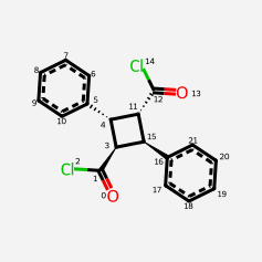 O=C(Cl)[C@H]1[C@H](c2ccccc2)[C@H](C(=O)Cl)[C@H]1c1ccccc1